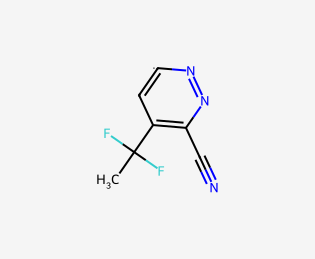 CC(F)(F)c1c[c]nnc1C#N